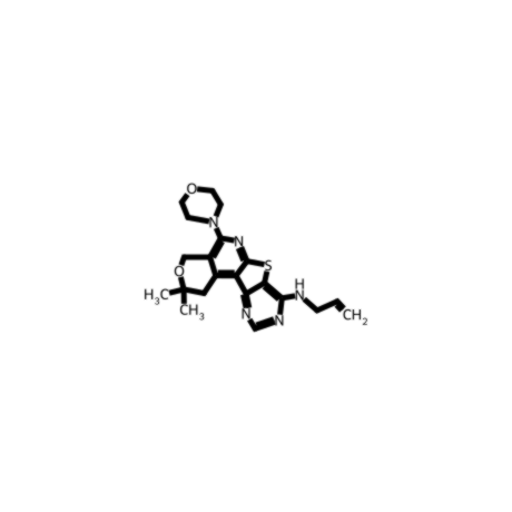 C=CCNc1ncnc2c1sc1nc(N3CCOCC3)c3c(c12)CC(C)(C)OC3